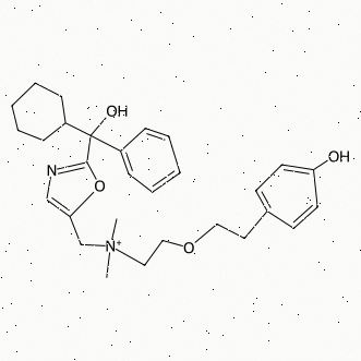 C[N+](C)(CCOCCc1ccc(O)cc1)Cc1cnc(C(O)(c2ccccc2)C2CCCCC2)o1